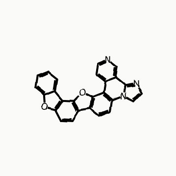 c1ccc2c(c1)oc1ccc3c4ccc5c(c6ccncc6c6nccn56)c4oc3c12